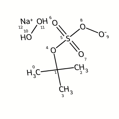 CC(C)(C)OS(=O)(=O)O[O-].OO.[Na+]